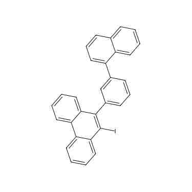 Ic1c(-c2cccc(-c3cccc4ccccc34)c2)c2ccccc2c2ccccc12